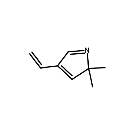 C=CC1=CC(C)(C)N=C1